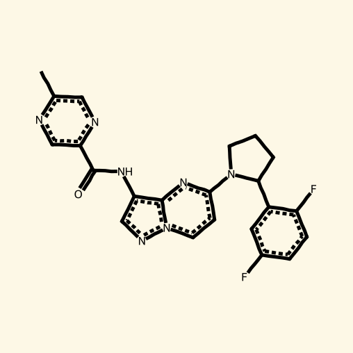 Cc1cnc(C(=O)Nc2cnn3ccc(N4CCCC4c4cc(F)ccc4F)nc23)cn1